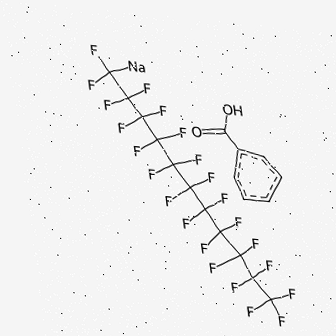 FC(F)(F)C(F)(F)C(F)(F)C(F)(F)C(F)(F)C(F)(F)C(F)(F)C(F)(F)C(F)(F)C(F)(F)[C](F)(F)[Na].O=C(O)c1ccccc1